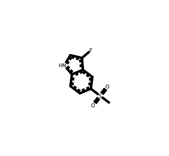 CS(=O)(=O)c1ccc2[nH]cc(F)c2c1